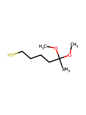 COC([SiH3])(CCCCS)OC